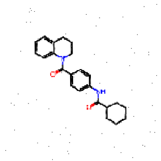 O=C(Nc1ccc(C(=O)N2CCCc3ccccc32)cc1)C1CCCCC1